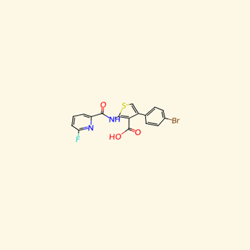 O=C(Nc1scc(-c2ccc(Br)cc2)c1C(=O)O)c1cccc(F)n1